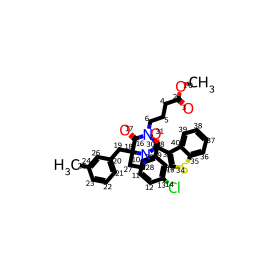 COC(=O)CCCN(Cc1cccc(Cl)c1)C(=O)C1(Cc2cccc(C)c2)CCN1C(=O)c1csc2ccccc12